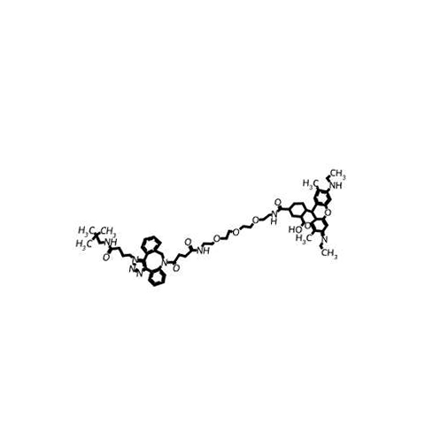 CC/N=C1/C=C2Oc3cc(NCC)c(C)cc3C(C3CCC(C(=O)NCCOCCOCCOCCNC(=O)CCC(=O)N4Cc5ccccc5-c5c(nnn5CCCC(=O)NCC(C)(C)C)-c5ccccc54)CC3C(=O)O)C2C=C1C